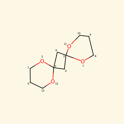 C1COC2(CC3(C2)OCCCO3)OC1